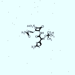 CC(C)(O/N=C(\C(=O)N[C@H]1C(=O)N(S(=O)(=O)O)[C@H]1CNC(N)=O)c1csc(N)n1)C(=O)O